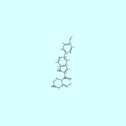 C/C=C1/CNCC[C@H]1C(=O)c1cc2cc(-c3ccc(F)cc3)ccc2[nH]1